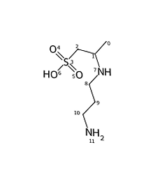 CC(CS(=O)(=O)O)NCCCN